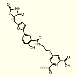 O=C1NC(=O)/C(=C\c2ccc(-c3ccc(O)c(C(=O)NCCSc4cc(C(=O)O)nc(C(=O)O)c4)c3)o2)S1